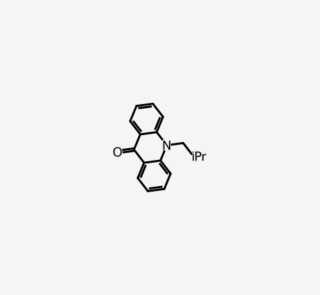 CC(C)Cn1c2ccccc2c(=O)c2ccccc21